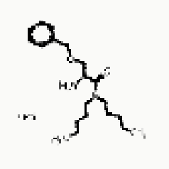 CCCCCN(CCCCC)C(=O)[C@@H](N)COCc1ccccc1.Cl